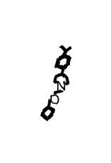 CC(C)c1ccc(C2CCN(CCOCc3ccccc3)CC2)cc1